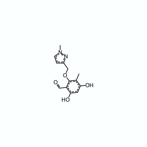 Cc1c(O)cc(O)c(C=O)c1OCc1ccn(C)n1